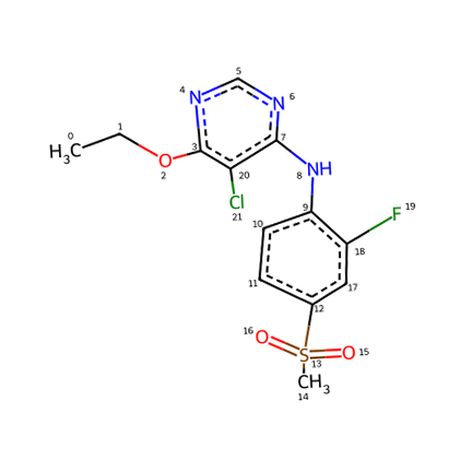 CCOc1ncnc(Nc2ccc(S(C)(=O)=O)cc2F)c1Cl